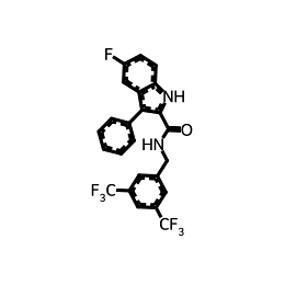 O=C(NCc1cc(C(F)(F)F)cc(C(F)(F)F)c1)c1[nH]c2ccc(F)cc2c1-c1ccccc1